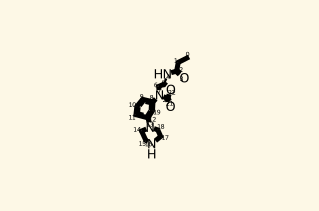 CCC(=O)N[C@@H]1CN(c2cccc(N3CCNCC3)c2)C(=O)O1